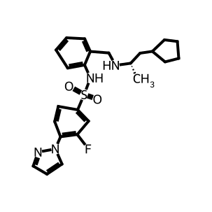 C[C@@H](CC1CCCC1)NCc1ccccc1NS(=O)(=O)c1ccc(-n2cccn2)c(F)c1